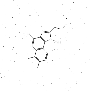 CCOCc1nc2c(N)nc3c(C)c(C)ccc3c2n1N